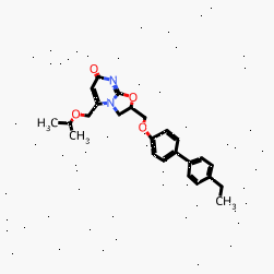 CCc1ccc(-c2ccc(OCC3Cn4c(COC(C)C)cc(=O)nc4O3)cc2)cc1